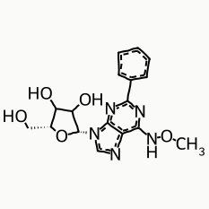 CONc1nc(-c2ccccc2)nc2c1ncn2[C@@H]1O[C@H](CO)C(O)C1O